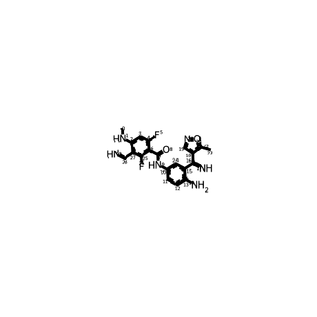 CNc1cc(F)c(C(=O)Nc2ccc(N)c(C(=N)c3cnoc3C)c2)c(F)c1C=N